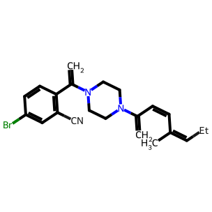 C=C(/C=C\C(C)=C/CC)N1CCN(C(=C)c2ccc(Br)cc2C#N)CC1